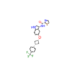 O=C(Nc1c[nH]c2ccc(O[C@H]3C[C@@H](c4ccc(C(F)(F)F)cc4)C3)cc12)c1nccs1